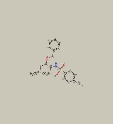 C=CCC(OCc1ccccc1)C(NS(=O)(=O)c1ccc(C)cc1)C(=O)OCC